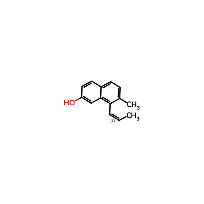 C/C=C\c1c(C)ccc2ccc(O)cc12